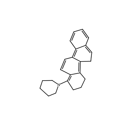 C1=c2ccccc2=c2ccc3c(c2C1)CCCC=3N1CCCCC1